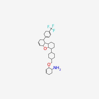 NC1CCC=CC1OCC1CCC(C2CCCC3C2OC2C=CCC(C4=CC=C(C(F)(F)F)CC4)C23)CC1